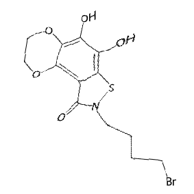 O=c1c2c3c(c(O)c(O)c2sn1CCCCBr)OCCO3